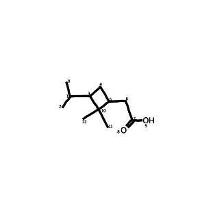 CC(C)C1CC(CC(=O)O)C1(C)C